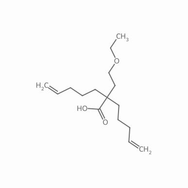 C=CCCCC(CCCC=C)(CCOCC)C(=O)O